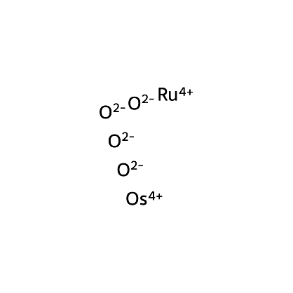 [O-2].[O-2].[O-2].[O-2].[Os+4].[Ru+4]